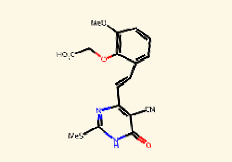 COc1cccc(C=Cc2nc(SC)[nH]c(=O)c2C#N)c1OCC(=O)O